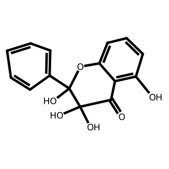 O=C1c2c(O)cccc2OC(O)(c2ccccc2)C1(O)O